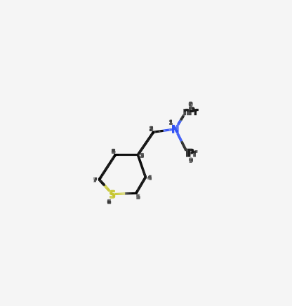 CCCN(CC1CCSCC1)C(C)C